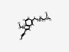 CC#Cc1cc2cc(CNCCN(C)C)ccc2n1CC